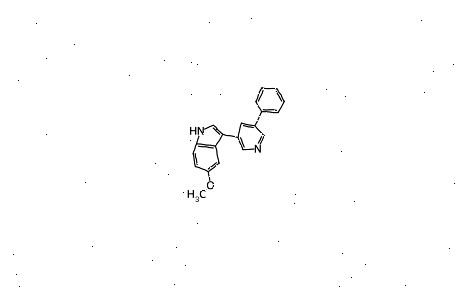 COc1ccc2[nH]cc(-c3cncc(-c4ccccc4)c3)c2c1